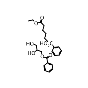 CCCCCC(=O)OCC.O=C(O)c1ccccc1.O=C(OCC(O)CO)c1ccccc1